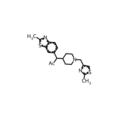 CC(=O)C(c1ccc2nc(C)sc2c1)C1CCN(Cc2csc(C)n2)CC1